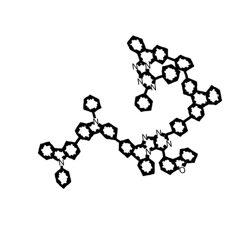 c1ccc(-c2nc(-c3ccccc3)c3c(n2)nc2c4ccccc4c4ccc(-c5cccc(-c6ccc7c8cc(-c9ccc(-c%10nc(-c%11cccc%12oc%13ccccc%13c%11%12)c%11c(n%10)nc%10c%12cc(-c%13ccc%14c(c%13)c%13cc(-c%15ccc%16c(c%15)c%15ccccc%15n%16-c%15ccccc%15)ccc%13n%14-c%13ccccc%13)ccc%12c%12ccccc%12n%10%11)cc9)ccc8c8ccccc8c7c6)c5)cc4n23)cc1